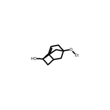 CCOC12CC=C3C(C1)CC3(O)C2